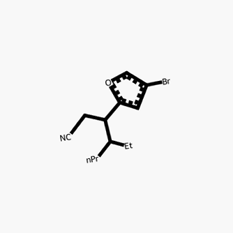 CCCC(CC)C(CC#N)c1cc(Br)co1